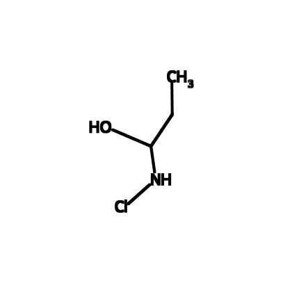 CCC(O)NCl